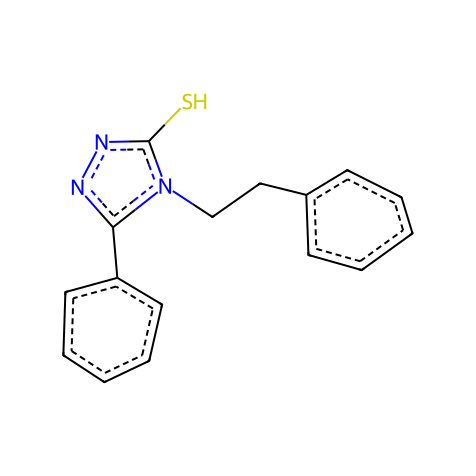 Sc1nnc(-c2ccccc2)n1CCc1ccccc1